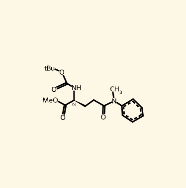 COC(=O)[C@H](CCC(=O)N(C)c1ccccc1)NC(=O)OC(C)(C)C